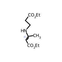 CCOC(=O)/C=C(\C)NCCC(=O)OCC